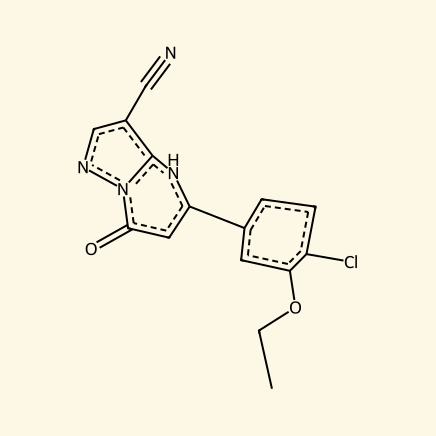 CCOc1cc(-c2cc(=O)n3ncc(C#N)c3[nH]2)ccc1Cl